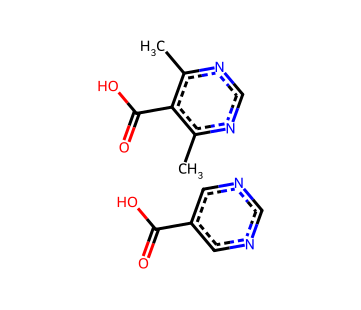 Cc1ncnc(C)c1C(=O)O.O=C(O)c1cncnc1